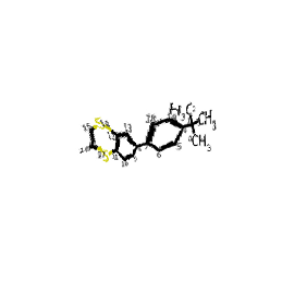 CC(C)(C)c1ccc(-c2ccc3c(c2)SCCS3)cc1